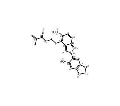 C=C(C)C(=O)OCCc1c(C(=O)O)ccc2nn(-c3cc4c(cc3O)OCO4)nc12